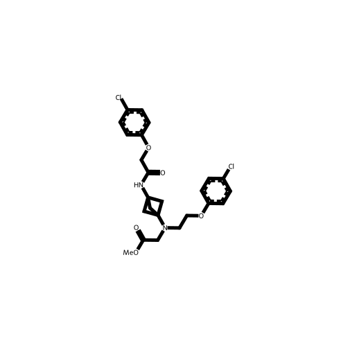 COC(=O)CN(CCOc1ccc(Cl)cc1)C12CC(NC(=O)COc3ccc(Cl)cc3)(C1)C2